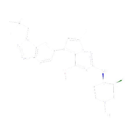 [2H]c1cc(-c2ccc3nnn(CC(F)(F)F)c3c2)c2c(OC)nc(N[C@@H]3CCN(C)C[C@@H]3F)nn12